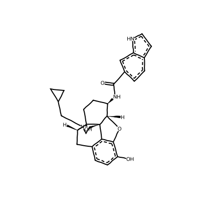 O=C(N[C@@H]1CC[C@@]2(O)[C@H]3Cc4ccc(O)c5c4[C@@]2(CCN3CC2CC2)[C@H]1O5)c1ccc2cc[nH]c2c1